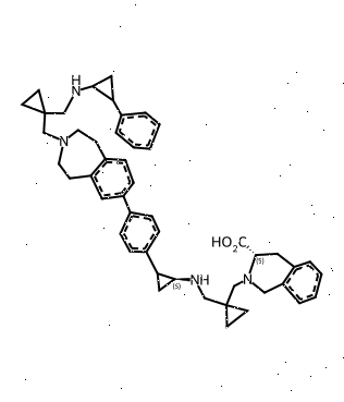 O=C(O)[C@@H]1Cc2ccccc2CN1CC1(CN[C@H]2CC2c2ccc(-c3ccc4c(c3)CCN(CC3(CNC5CC5c5ccccc5)CC3)CC4)cc2)CC1